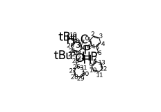 Cc1cccc(CPc2ccccc2)c1Pc1cc(C(C)(C)C)cc(C(C)(C)C)c1OCC1C=CC=CC1